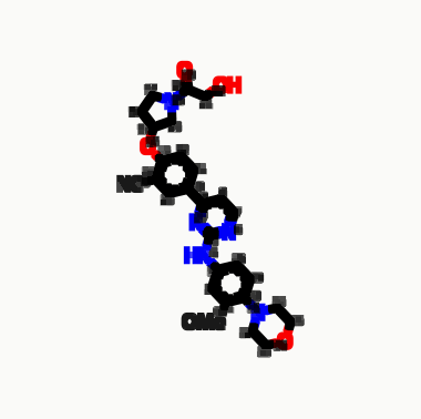 COc1cc(Nc2nccc(-c3ccc(OC4CCN(C(=O)CO)C4)c(C#N)c3)n2)ccc1N1CCOCC1